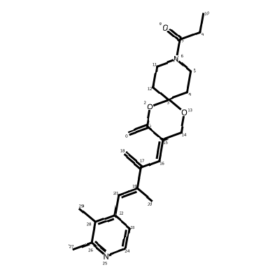 C=C1OC2(CCN(C(=O)CC)CC2)OC/C1=C/C(=C)/C(C)=C/c1ccnc(C)c1C